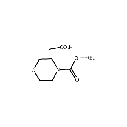 CC(=O)O.CC(C)(C)OC(=O)N1CCOCC1